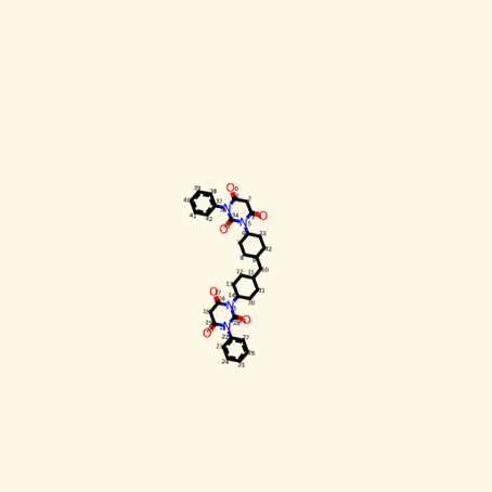 O=C1CC(=O)N(C2CCC(CC3CCC(N4C(=O)CC(=O)N(c5ccccc5)C4=O)CC3)CC2)C(=O)N1c1ccccc1